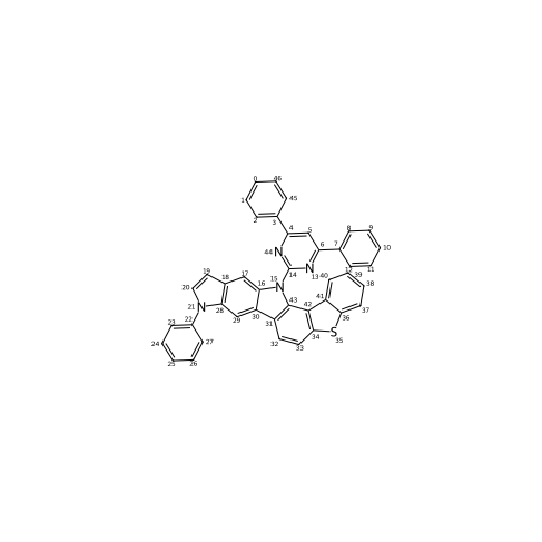 c1ccc(-c2cc(-c3ccccc3)nc(-n3c4cc5ccn(-c6ccccc6)c5cc4c4ccc5sc6ccccc6c5c43)n2)cc1